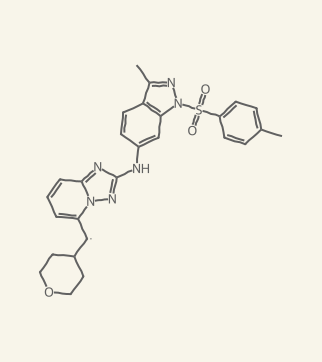 Cc1ccc(S(=O)(=O)n2nc(C)c3ccc(Nc4nc5cccc([CH]C6CCOCC6)n5n4)cc32)cc1